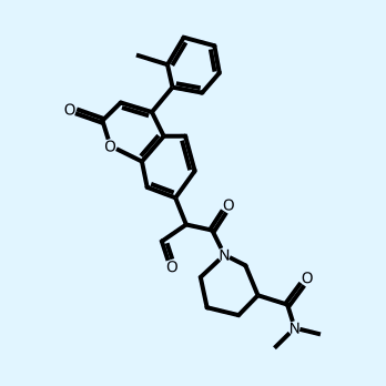 Cc1ccccc1-c1cc(=O)oc2cc(C(C=O)C(=O)N3CCCC(C(=O)N(C)C)C3)ccc12